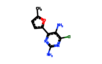 Cc1ccc(-c2nc(N)nc(Cl)c2N)o1